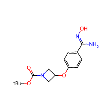 CC(C)(C)OC(=O)N1CC(Oc2ccc(C(N)=NO)cc2)C1